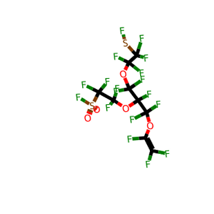 O=S(=O)(F)C(F)(F)C(F)(F)OC(F)(C(F)(F)OC(F)=C(F)F)C(F)(F)OC(F)(F)C(F)(F)SF